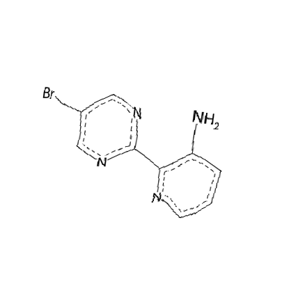 Nc1cccnc1-c1ncc(Br)cn1